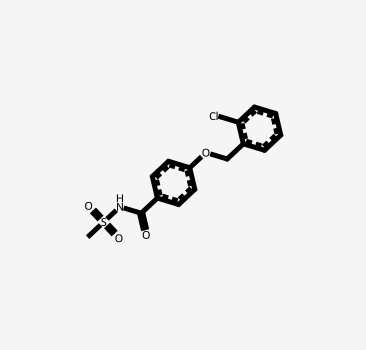 CS(=O)(=O)NC(=O)c1ccc(OCc2ccccc2Cl)cc1